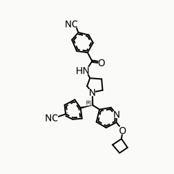 N#Cc1ccc(C(=O)NC2CCN([C@H](c3ccc(C#N)cc3)c3ccc(OC4CCC4)nc3)C2)cc1